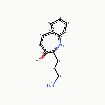 NCCCc1nc2ccccc2ccc1=O